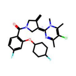 C=C1CN(C(=O)c2ccc(F)cc2OC2CCC(F)CC2)C/C1=C1\N=C(C)C(Cl)=C(C)N1C